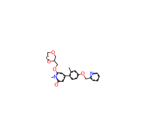 Cc1cc(OCc2ccccn2)ccc1-c1cc(OCC2COCCO2)n(C)c(=O)c1